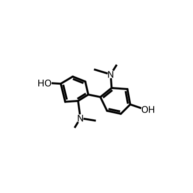 CN(C)c1cc(O)ccc1-c1ccc(O)cc1N(C)C